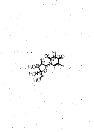 Cc1cn(C2OC(N)(CO)C(O)C2C)c(=O)[nH]c1=O